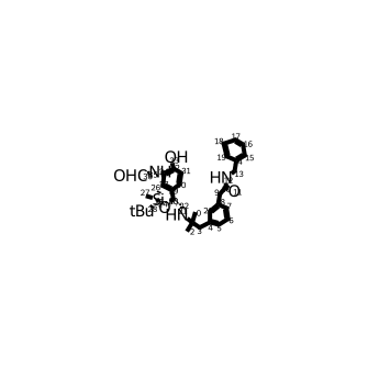 CC(C)(Cc1cccc(CC(=O)NCc2ccccc2)c1)NC[C@H](O[Si](C)(C)C(C)(C)C)c1ccc(O)c(NC=O)c1